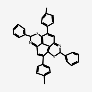 Cc1ccc(-c2cc3c4c(c(-c5ccc(C)cc5)cc5c4c2SC(c2ccccc2)N=5)SC(c2ccccc2)N=3)cc1